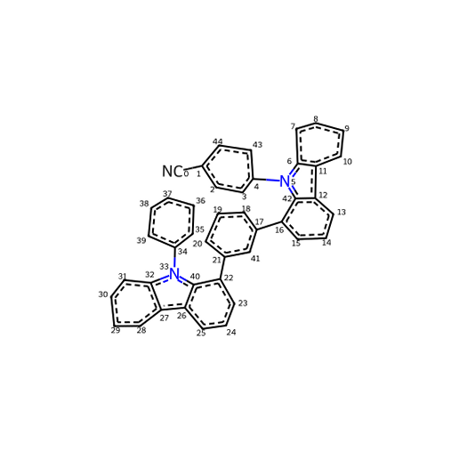 N#Cc1ccc(-n2c3ccccc3c3cccc(-c4cccc(-c5cccc6c7ccccc7n(-c7ccccc7)c56)c4)c32)cc1